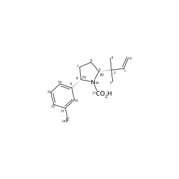 C=CC(C)(C)[C@H]1CC[C@@H](c2cccc(F)c2)N1C(=O)O